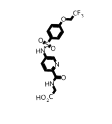 O=C(O)CNC(=O)c1ccc(NS(=O)(=O)c2ccc(OCC(F)(F)F)cc2)cn1